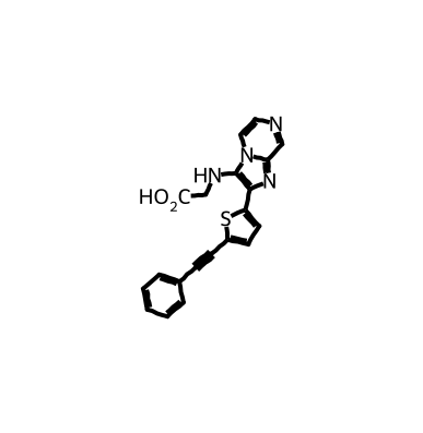 O=C(O)CNc1c(-c2ccc(C#Cc3ccccc3)s2)nc2cnccn12